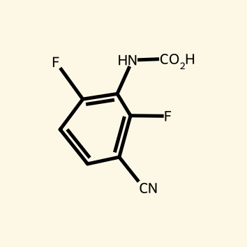 N#Cc1ccc(F)c(NC(=O)O)c1F